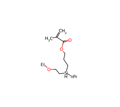 C=C(C)C(=O)OCCC[SiH](CCC)CCOCC